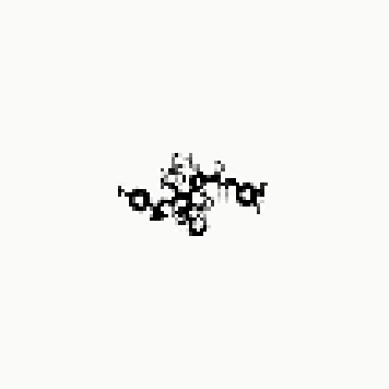 Cc1nnc(-c2c(CC3(c4ccc(F)cc4)CC3)nc3c(c2-c2ccc(C(=O)NCc4ccc(F)c(F)c4)s2)C(=O)N2CCC[C@@H]32)o1